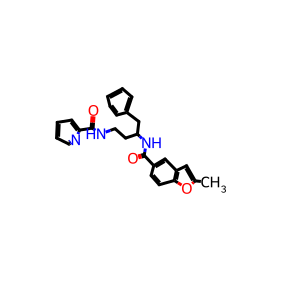 Cc1cc2cc(C(=O)NC(CCNC(=O)c3ccccn3)Cc3ccccc3)ccc2o1